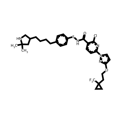 CC1(C)CC(CCCCc2ccc(SNC(=O)c3ccc(-n4ccc(OCCC5(C(F)(F)F)CC5)n4)nc3Cl)cc2)CN1